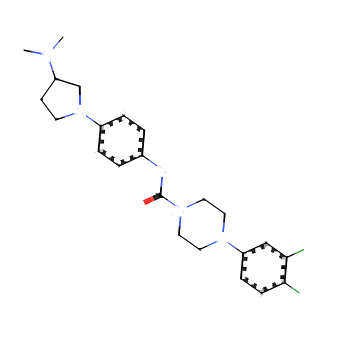 CN(C)C1CCN(c2ccc(NC(=O)N3CCN(c4ccc(Cl)c(Cl)c4)CC3)cc2)C1